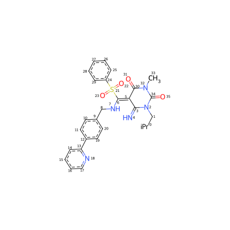 CC(C)CN1C(=N)/C(=C(\NCc2ccc(-c3ccccn3)cc2)S(=O)(=O)c2ccccc2)C(=O)N(C)C1=O